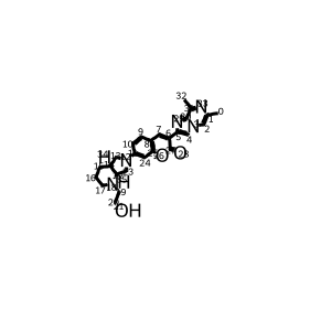 Cc1cn2cc(-c3cc4ccc(N5C[C@H]6CCCN(CCO)[C@H]6C5)cc4oc3=O)nc2c(C)n1